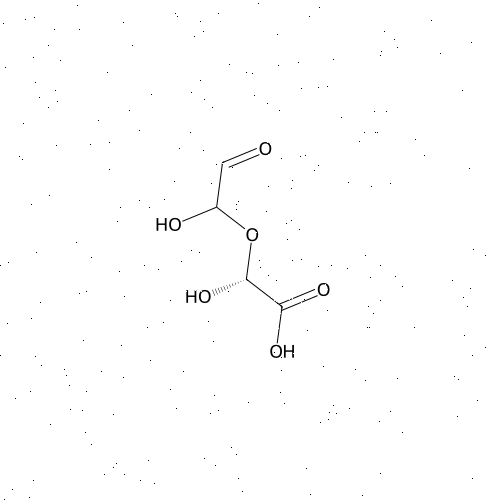 O=CC(O)O[C@@H](O)C(=O)O